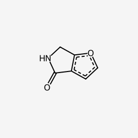 O=C1NCc2occc21